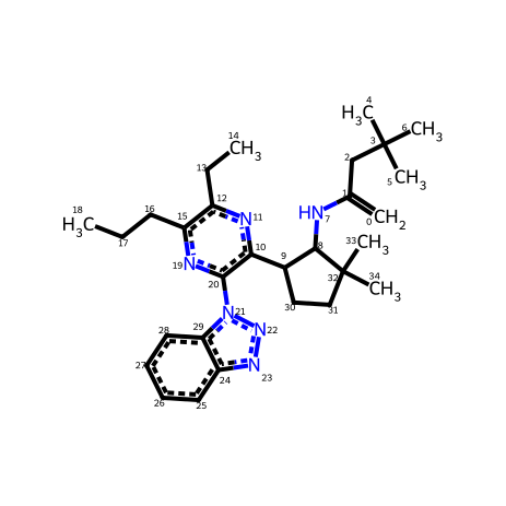 C=C(CC(C)(C)C)NC1C(c2nc(CC)c(CCC)nc2-n2nnc3ccccc32)CCC1(C)C